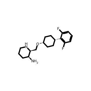 N[C@H]1CCCN[C@H]1CO[C@H]1CC[C@@H](c2c(F)cccc2F)CC1